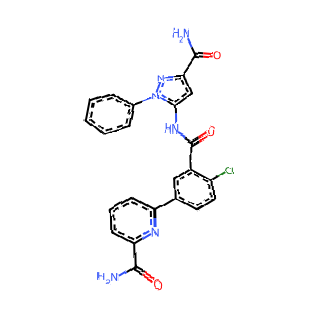 NC(=O)c1cccc(-c2ccc(Cl)c(C(=O)Nc3cc(C(N)=O)nn3-c3ccccc3)c2)n1